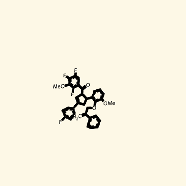 C=C(COc1c(OC)cccc1C1CC(c2ccc(F)cc2)=CC1C(=O)c1cc(F)c(F)c(OC)c1F)c1ccccc1